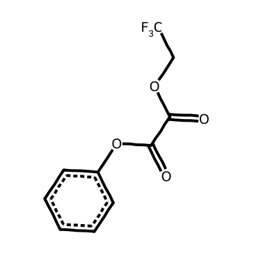 O=C(OCC(F)(F)F)C(=O)Oc1ccccc1